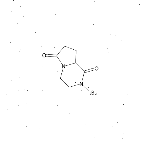 CC(C)(C)N1CCN2C(=O)CCC2C1=O